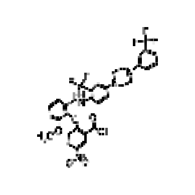 COc1cccc(CNc2ccc(N3CCN(c4cccc(C(F)(F)F)c4)CC3)cc2C(F)(F)F)c1Oc1ccc([N+](=O)[O-])cc1C(=O)O